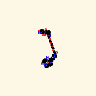 Cc1ccc(NC(=O)c2ccc(CN3CCN(C(=O)CCOCCOCCOCCOCCNc4cccc5c4C(=O)N(C4CCC(=O)NC4=O)C5=O)CC3)cc2)cc1Nc1nccc(-c2cccnc2)n1